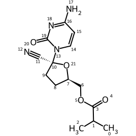 CC(C)C(=O)OC[C@H]1CC[C@@](C#N)(n2ccc(N)nc2=O)O1